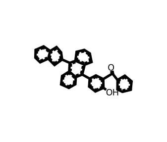 O=C(c1ccccc1)c1cc(-c2c3ccccc3c(-c3ccc4ccccc4c3)c3ccccc23)ccc1O